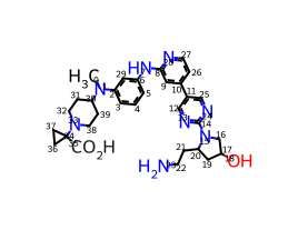 CN(c1cccc(Nc2cc(-c3cnc(N4CC(O)CC4CCN)nc3)ccn2)c1)C1CCN(C2(C(=O)O)CC2)CC1